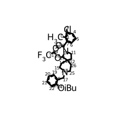 Cc1c(Cl)cccc1C(=O)N1CCC2(CCN(Cc3ccccc3OCC(C)C)CC2)C1OC(=O)C(F)(F)F